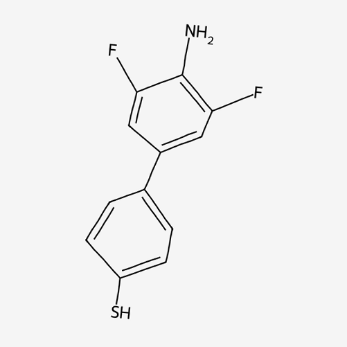 Nc1c(F)cc(-c2ccc(S)cc2)cc1F